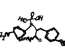 CNC(=O)C(Cc1ccc(Br)cc1)N(c1ccc([N+](=O)[O-])cc1)P(=O)(O)O